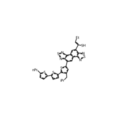 CC/C=C(\S)c1cc2c(cc(-c3cc(CC(C)C)c(-c4ccc(-c5ccc(CCC)s5)s4)s3)c3nsnc32)c2nsnc12